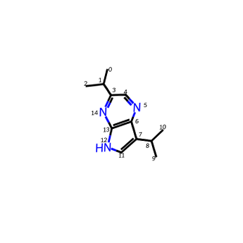 CC(C)c1cnc2c(C(C)C)c[nH]c2n1